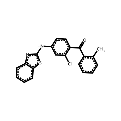 Cc1ccccc1C(=O)c1ccc(Nc2nc3ccccc3s2)cc1Cl